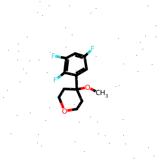 COC1(c2cc(F)cc(F)c2F)CCOCC1